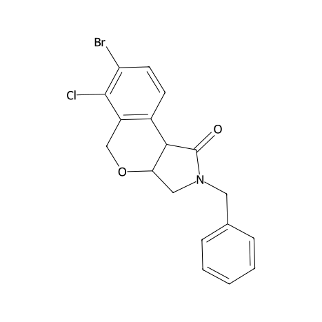 O=C1C2c3ccc(Br)c(Cl)c3COC2CN1Cc1ccccc1